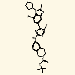 Cc1nc2cc(-c3nc(Nc4ccc5c(n4)CCN(C(=O)OC(C)(C)C)C5)ncc3F)cc(F)c2n1C1CCCC1